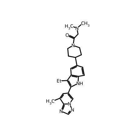 CCc1c(-c2cc(C)c3ncnn3c2)[nH]c2ccc(C3CCN(C(=O)CN(C)C)CC3)cc12